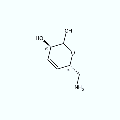 NC[C@@H]1C=C[C@@H](O)C(O)O1